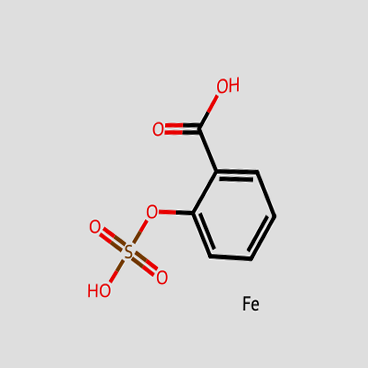 O=C(O)c1ccccc1OS(=O)(=O)O.[Fe]